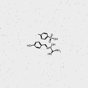 Cc1ccc(S(=O)(=O)O)cc1.N=C(N)N(O)/N=C/c1ccc(O)cc1